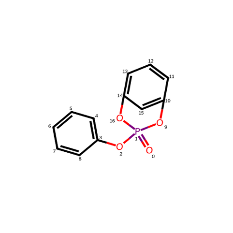 O=P1(Oc2ccccc2)Oc2cccc(c2)O1